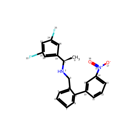 C[C@@H](NCc1ccccc1-c1cccc([N+](=O)[O-])c1)c1cc(F)cc(F)c1